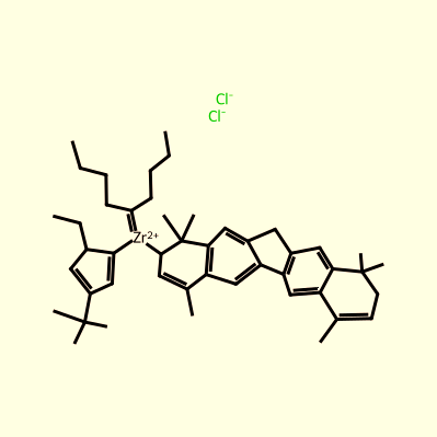 CCCC[C](CCCC)=[Zr+2]([C]1=CC(C(C)(C)C)=CC1CC)[CH]1C=C(C)c2cc3c(cc2C1(C)C)Cc1cc2c(cc1-3)C(C)=CCC2(C)C.[Cl-].[Cl-]